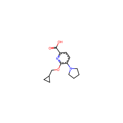 O=C(O)c1ccc(N2CCCC2)c(OCC2CC2)n1